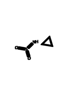 C1CC1.N=S(=O)=O